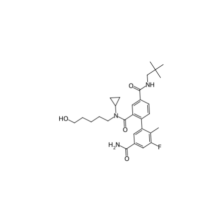 Cc1c(F)cc(C(N)=O)cc1-c1ccc(C(=O)NCC(C)(C)C)cc1C(=O)N(CCCCCO)C1CC1